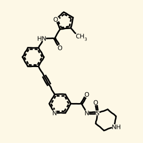 Cc1ccoc1C(=O)Nc1cccc(C#Cc2cncc(C(=O)N=S3(=O)CCNCC3)c2)c1